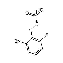 O=[SH](=O)O[CH]c1c(F)cccc1Br